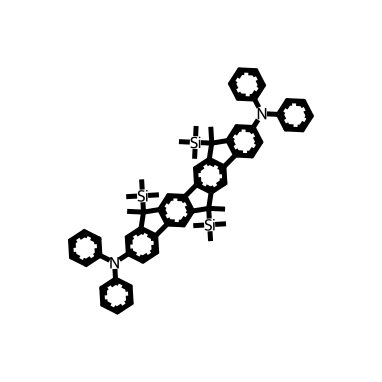 CC1([Si](C)(C)C)c2cc(N(c3ccccc3)c3ccccc3)ccc2-c2cc3c(cc21)-c1cc2c(cc1C3(C)[Si](C)(C)C)-c1ccc(N(c3ccccc3)c3ccccc3)cc1C2(C)[Si](C)(C)C